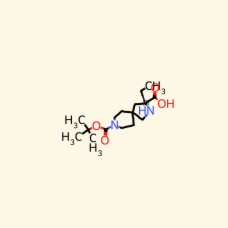 CC[C@]1(C(=O)O)CC2(CCN(C(=O)OC(C)(C)C)CC2)CN1